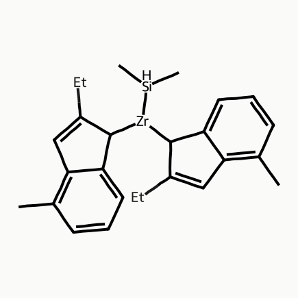 CCC1=Cc2c(C)cccc2[CH]1[Zr]([CH]1C(CC)=Cc2c(C)cccc21)[SiH](C)C